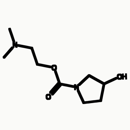 CN(C)CCOC(=O)N1CCC(O)C1